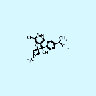 CC(C)c1ccc(C(O)(c2cnnc(Cl)c2)C2(C)CN(C)C2)cc1